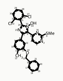 CSc1nccc(-c2c(-c3ccc(C)c(OCc4ccccc4)c3)nc(-c3c(Cl)cccc3Cl)n2O)n1